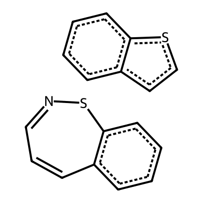 C1=Cc2ccccc2SN=C1.c1ccc2sccc2c1